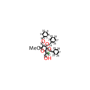 COC1=C(COCc2ccccc2)C(OCc2ccccc2)[C@H](OCc2ccccc2)C([C@@H](F)CO)O1